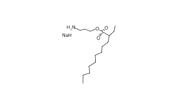 CCCCCCCCCC(CC)S(=O)(=O)OCCCN.[NaH]